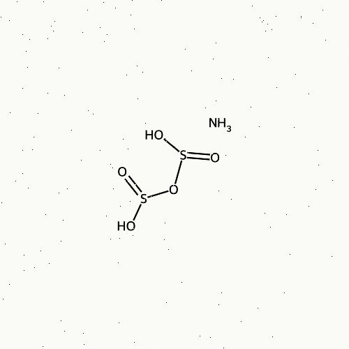 N.O=S(O)OS(=O)O